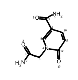 NC(=O)Cn1cc(C(N)=O)ccc1=O